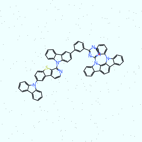 c1ccc(-n2c3ccccc3c3ccc4c5ccccc5n(-c5ncnc(-c6cccc(-c7ccc8c(c7)c7ccccc7n8-c7nccc8c7sc7ccc(-n9c%10ccccc%10c%10ccccc%109)cc78)c6)n5)c4c32)cc1